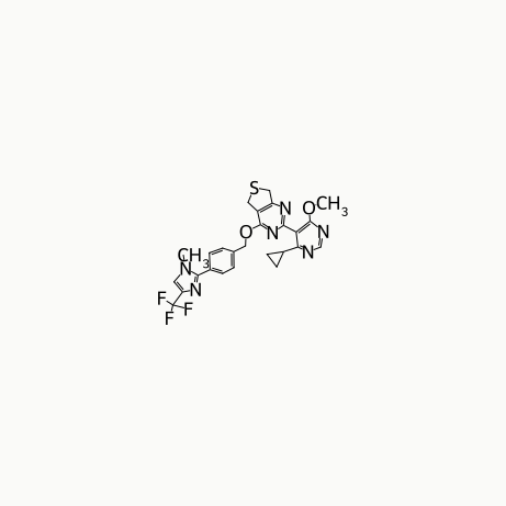 COc1ncnc(C2CC2)c1-c1nc2c(c(OCc3ccc(-c4nc(C(F)(F)F)cn4C)cc3)n1)CSC2